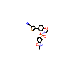 Cc1nc2cc(S(=O)(=O)N3CCOc4ccc(-c5csc(C#N)c5)cc43)ccc2o1